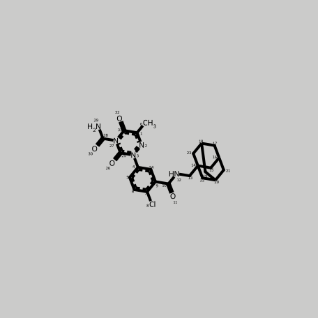 Cc1nn(-c2ccc(Cl)c(C(=O)NCC34CC5CC(CC(C5)C3)C4)c2)c(=O)n(C(N)=O)c1=O